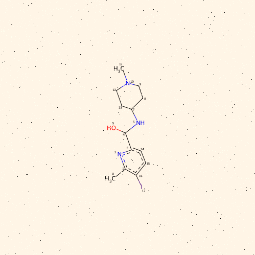 Cc1nc(C(O)NC2CCN(C)CC2)ccc1I